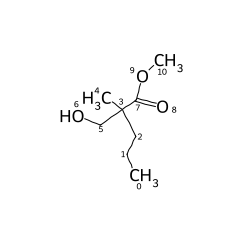 CCCC(C)(CO)C(=O)OC